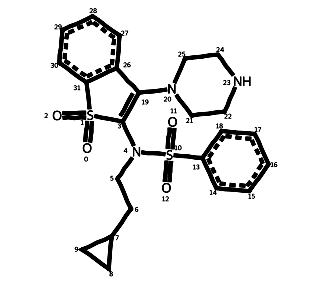 O=S1(=O)C(N(CCC2CC2)S(=O)(=O)c2ccccc2)=C(N2CCNCC2)c2ccccc21